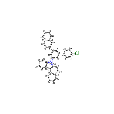 Clc1ccc(-c2cc(-c3ccc4ccccc4c3)cc(-n3c4ccccc4c4c5ccccc5ccc43)c2)cc1